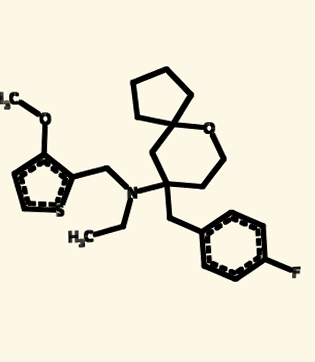 CCN(Cc1sccc1OC)C1(Cc2ccc(F)cc2)CCOC2(CCCC2)C1